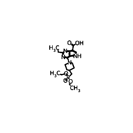 CCOP(=O)(CC1CCN(c2nc(CC)nc3c(C(=O)O)c[nH]c23)CC1)OCC